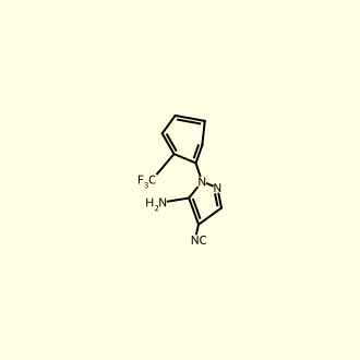 [C-]#[N+]c1cnn(-c2ccccc2C(F)(F)F)c1N